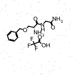 NC(=O)CNC(=O)[C@H](N)COCc1ccccc1.O=C(O)C(F)(F)F